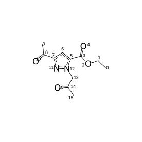 CCOC(=O)c1cc(C(C)=O)nn1CC(C)=O